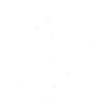 Cc1ccc(C(=O)O)c(N2CCC(O)CC2)c1C(=O)O.O=c1ncncn1Cc1ccc(C(F)(F)F)s1